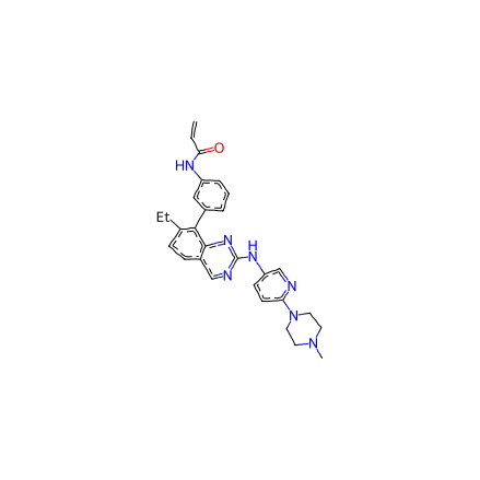 C=CC(=O)Nc1cccc(-c2c(CC)ccc3cnc(Nc4ccc(N5CCN(C)CC5)nc4)nc23)c1